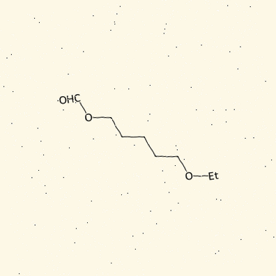 CCOCCCCCO[C]=O